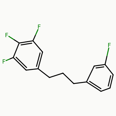 Fc1cccc(CCCc2cc(F)c(F)c(F)c2)c1